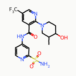 CC1CN(c2ncc(C(F)(F)F)cc2C(=O)Nc2ccnc(S(N)(=O)=O)c2)CCC1O